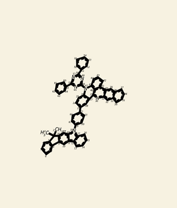 CC1(C)c2ccccc2-c2cc3c4ccccc4n(-c4ccc(-c5ccc6c(c5)-c5nc7cc8ccccc8cc7c7cccc(c57)N6c5nc(-c6ccccc6)nc(-c6ccccc6)n5)cc4)c3cc21